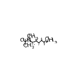 [CH2]C(=O)N(C)CCCCCC